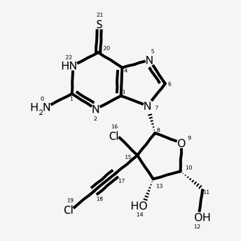 Nc1nc2c(ncn2[C@@H]2O[C@H](CO)[C@H](O)C2(Cl)C#CCl)c(=S)[nH]1